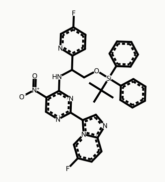 CC(C)(C)[Si](OCC(Nc1nc(-c2cnc3ccc(F)cn23)ncc1[N+](=O)[O-])c1ccc(F)cn1)(c1ccccc1)c1ccccc1